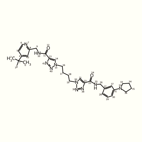 CC(C)(I)c1ccnc(CNC(=O)c2cn(CCCCn3cc(C(=O)NCc4cccc(N5CCCC5)c4)nn3)nn2)c1